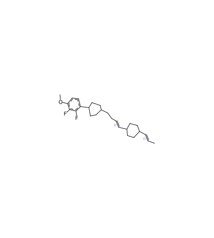 C/C=C/C1CCC(/C=C/CCC2CCC(c3ccc(OC)c(F)c3F)CC2)CC1